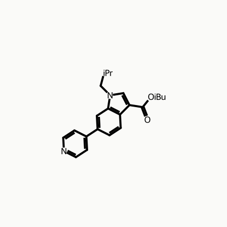 CC(C)COC(=O)c1cn(CC(C)C)c2cc(-c3ccncc3)ccc12